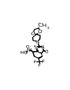 C[C@H]1COC2(CCN(c3nc(=O)c4c(s3)/C(=[N+](\[O-])O)CC(C(F)(F)F)=C4)CC2)O1